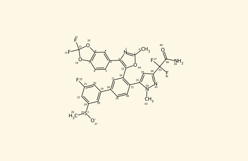 Cc1nc(-c2ccc3c(c2)OC(F)(F)O3)c(-c2cc(-c3cc(F)cc([S+](C)[O-])c3)ccc2-c2cc(C(F)(F)C(N)=O)nn2C)o1